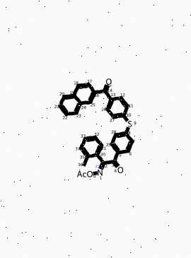 CC(=O)O/N=C(/C(=O)c1ccc(Sc2ccc(C(=O)c3ccc4ccccc4c3)cc2)cc1)c1ccccc1C